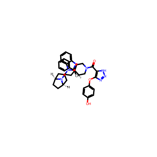 Cc1nc2ccccc2n1C1C[C@H]2CC[C@@H](C1)N2CCC1(c2ccccc2)CCN(C(=O)c2[nH]nnc2Oc2ccc(O)cc2)CC1